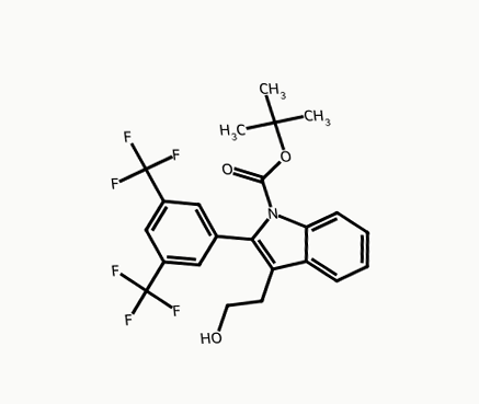 CC(C)(C)OC(=O)n1c(-c2cc(C(F)(F)F)cc(C(F)(F)F)c2)c(CCO)c2ccccc21